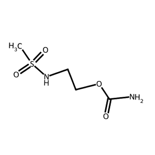 CS(=O)(=O)NCCOC(N)=O